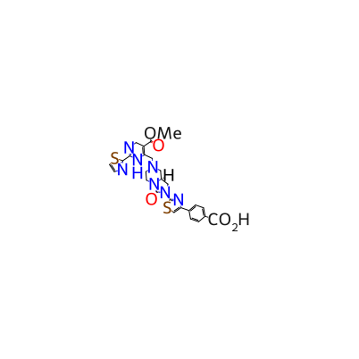 COC(=O)C1=C(CN2CCN3C(=O)N(c4nc(-c5ccc(C(=O)O)cc5)cs4)C[C@@H]3C2)NC(c2nccs2)=NC1